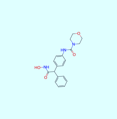 O=C(NO)C(c1ccccc1)c1ccc(NC(=O)N2CCOCC2)cc1